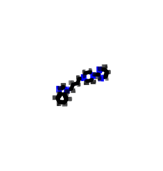 c1cnc(N2CCN(CCCCn3cnc4ccccc43)CC2)nc1